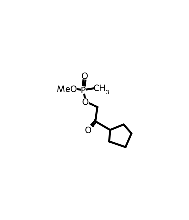 COP(C)(=O)OCC(=O)C1CCCC1